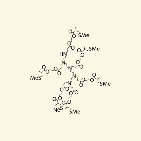 CSCC(C)C(=O)OCCOC(=O)CCNCCN(CCC(=O)OCCOC(=O)C(C)CSC)CCN(CCC(=O)OCCOC(=O)C(C)CSC)CCN(CCC(=O)OCCOC(=O)C(C)CSC)CCN(CCC(=O)OCCOC(=O)C(C)CSC)CCC(=O)OCCOC(=O)C(C)CSC#N